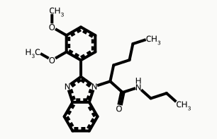 CCCCC(C(=O)NCCC)n1c(-c2cccc(OC)c2OC)nc2ccccc21